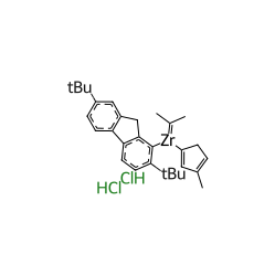 CC1=CC[C]([Zr](=[C](C)C)[c]2c(C(C)(C)C)ccc3c2Cc2cc(C(C)(C)C)ccc2-3)=C1.Cl.Cl